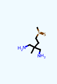 CS(=S)CCC(C)(CN)CN